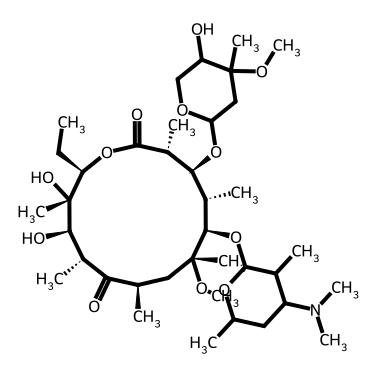 CC[C@H]1OC(=O)[C@H](C)[C@@H](OC2CC(C)(OC)C(O)CO2)[C@H](C)[C@@H](OC2OC(C)CC(N(C)C)C2C)[C@](C)(OC)C[C@@H](C)C(=O)[C@H](C)[C@@H](O)[C@]1(C)O